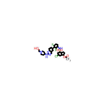 O=C(O[C@@H]1CCc2c1cc(Cl)cc2S(=O)(=O)Nc1ccc(F)c(-c2ccc3nc(NC4CCN(CCO)CC4)ncc3c2)c1F)C(F)(F)F